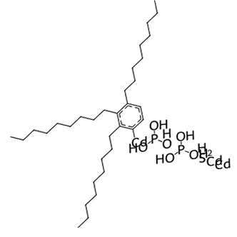 CCCCCCCCCc1cc[c]([Cd])c(CCCCCCCCC)c1CCCCCCCCC.OP(O)O.OP(O)O.S.[Cd].[Cd]